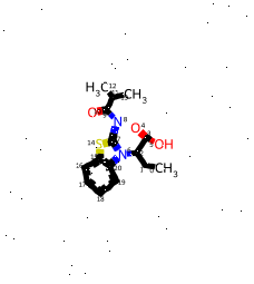 CCC(C(=O)O)n1c(=NC(=O)C(C)C)sc2ccccc21